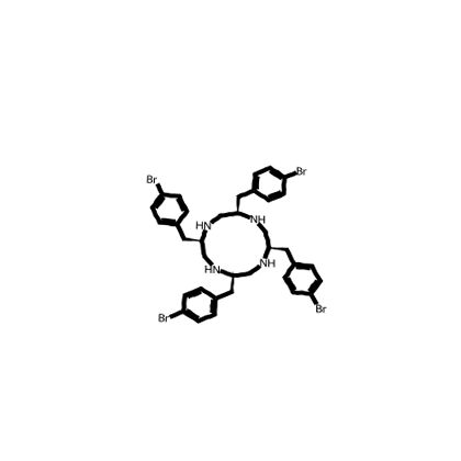 Brc1ccc(C[C@@H]2CN[C@H](Cc3ccc(Br)cc3)CN[C@H](Cc3ccc(Br)cc3)CN[C@H](Cc3ccc(Br)cc3)CN2)cc1